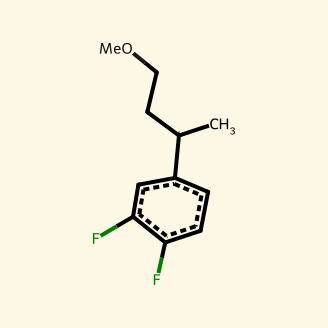 COCC[C](C)c1ccc(F)c(F)c1